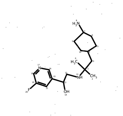 CC(C)(CC1CCC(N)CC1)NCC(O)c1cncc(F)c1